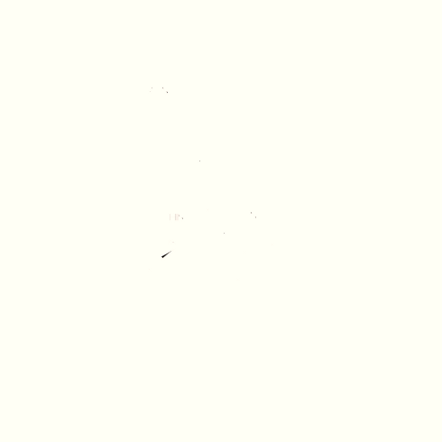 CC(=O)NCCC(C)(C)CC1N[C@H](C(=O)O)C(c2cccc(Cl)c2F)C1(C#N)c1ccc(Cl)cc1F